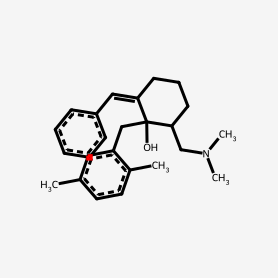 Cc1ccc(C)c(CC2(O)/C(=C\c3ccccc3)CCCC2CN(C)C)c1